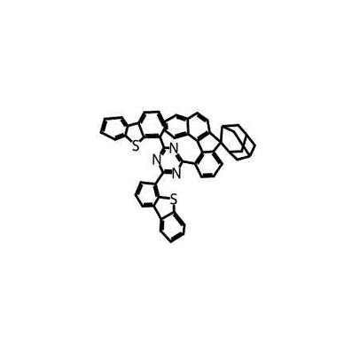 c1cc(-c2nc(-c3cccc4c3sc3ccccc34)nc(-c3cccc4c3sc3ccccc34)n2)c2c(c1)C1(c3ccc4ccccc4c3-2)C2CC3CC(C2)CC1C3